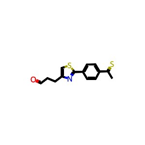 CC(=S)c1ccc(-c2nc(CCC=O)cs2)cc1